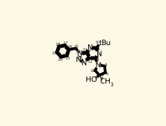 CC(C)(C)c1nc(N2CC[C@@](C)(O)C2)c2nnn(Cc3ccccc3)c2n1